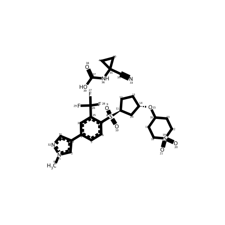 Cn1cc(-c2ccc(S(=O)(=O)[C@H]3CC[C@H](OC4CCS(=O)(=O)CC4)C3)c(C(F)(F)F)c2)cn1.N#CC1(NC(=O)O)CC1